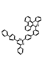 c1ccc(-c2ccc(-c3cc(-c4ccccc4)nc(-c4ccc(-c5cccc(-c6nc7ccccc7c7c8ccccc8c8ccccc8c67)c5)cc4)n3)cc2)cc1